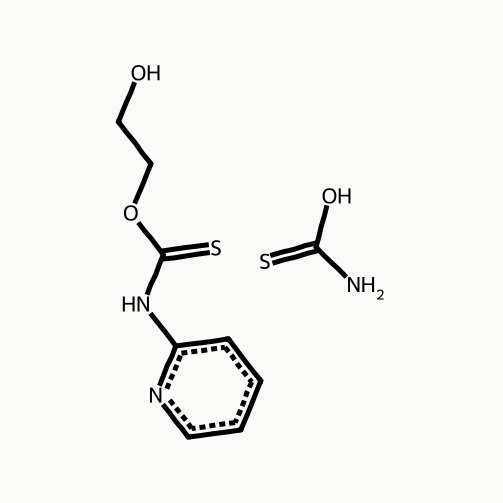 NC(O)=S.OCCOC(=S)Nc1ccccn1